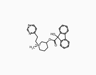 C[N@+]1(CCc2ccncn2)CCCC(OC(=O)C2(O)c3ccccc3-c3ccccc32)C1